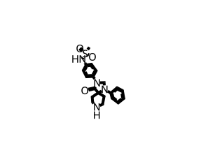 CS(=O)(=O)Nc1ccc(N2CN(c3ccccc3)C3(CCNCC3)C2=O)cc1